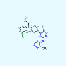 Cc1cnccc1Nc1ncc(F)c(-c2ccn([C@H](CCO)c3cccc(F)c3)c(=O)c2)n1